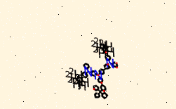 [2H]c1c([2H])c([2H])c(-c2ccc(N(c3ccccc3)c3ccc(-c4ccc(N(c5ccc(-c6ccc7c(c6)C(c6ccccc6)(c6ccccc6)c6ccccc6-7)cc5)c5ccc(N(c6ccccc6)c6ccc(-c7c([2H])c([2H])c([2H])c([2H])c7[2H])cc6)cc5)cc4)cc3)cc2)c([2H])c1[2H]